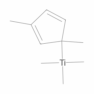 CC1=C[C](C)([Ti]([CH3])([CH3])[CH3])C=C1